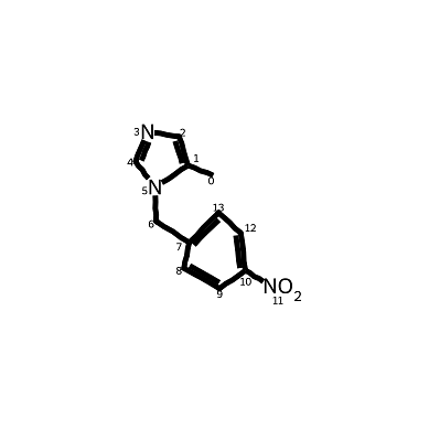 Cc1cncn1Cc1ccc([N+](=O)[O-])cc1